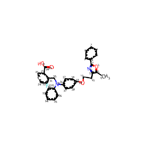 Cc1oc(-c2ccccc2)nc1CCOc1ccc(N(Cc2c(F)cccc2C(=O)O)c2ccccc2)cc1